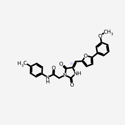 COc1cccc(-c2ccc(/C=C3\NC(=O)N(CC(=O)Nc4ccc(C)cc4)C3=O)o2)c1